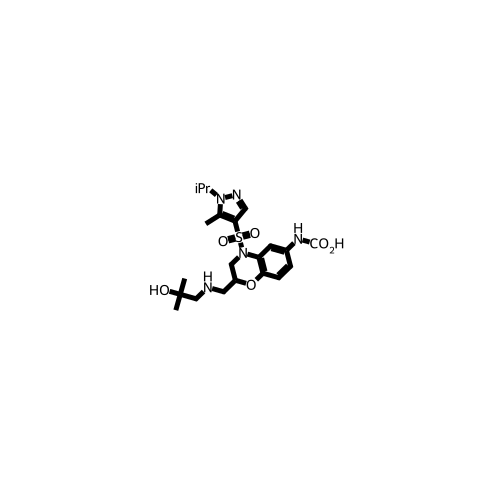 Cc1c(S(=O)(=O)N2CC(CNCC(C)(C)O)Oc3ccc(NC(=O)O)cc32)cnn1C(C)C